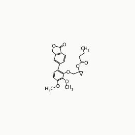 CCCC(=O)OC1(COc2c(-c3ccc4c(c3)COC4=O)ccc(OC)c2OC)CC1